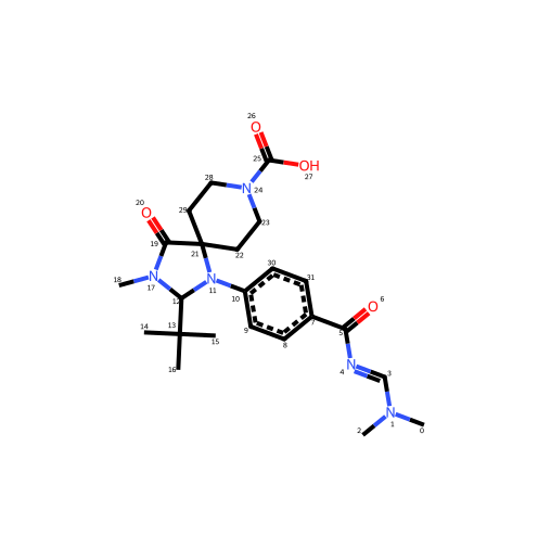 CN(C)C=NC(=O)c1ccc(N2C(C(C)(C)C)N(C)C(=O)C23CCN(C(=O)O)CC3)cc1